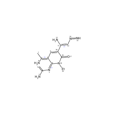 C=C(N)/N=C1\C(=C(\C)N)C=C(/C(N)=C/N=N)C(=O)N1CC